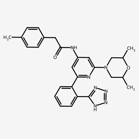 Cc1ccc(CC(=O)Nc2cc(-c3ccccc3-c3nnn[nH]3)nc(N3CC(C)OC(C)C3)c2)cc1